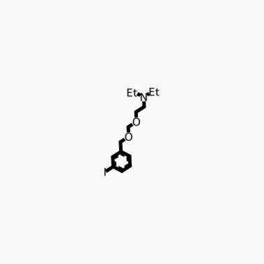 CCN(CC)CCOCOCc1cccc(I)c1